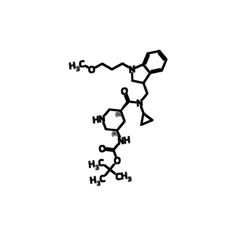 COCCCN1CC(CN(C(=O)[C@@H]2CNC[C@H](NC(=O)OC(C)(C)C)C2)C2CC2)c2ccccc21